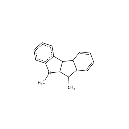 CC1C2C=CC=CC2C2c3ccccc3N(C)C12